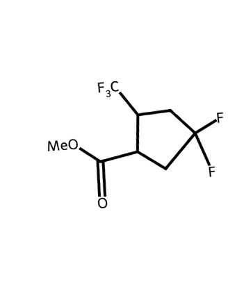 COC(=O)C1CC(F)(F)CC1C(F)(F)F